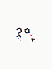 Cn1cc(-c2cc(Oc3ccc(NC(=O)OC(C)(C)C)c(F)c3)ccn2)cn1